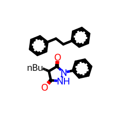 CCCCC1C(=O)NN(c2ccccc2)C1=O.c1ccc(CCc2ccccc2)cc1